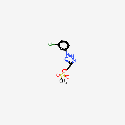 CS(=O)(=O)OCc1nnn(-c2cccc(Cl)c2)n1